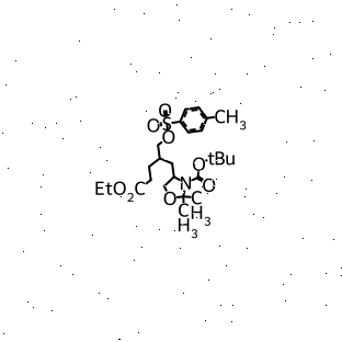 CCOC(=O)CCC(COS(=O)(=O)c1ccc(C)cc1)CC1COC(C)(C)N1C(=O)OC(C)(C)C